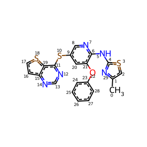 Cc1csc(Nc2ncc(Sc3ncnc4ccsc34)cc2Oc2ccccc2)n1